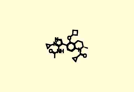 CC(=O)Nc1c(-c2ccc3c(c2OC2CCC2)CC[C@H](C)N3C(=O)C2CC2)cnn1C1CC1